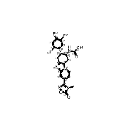 Cn1c(-c2ccn3c4c(nc3c2)C[C@H](c2cc(F)c(F)cc2F)[C@@H](NC(=O)O)C4)noc1=O